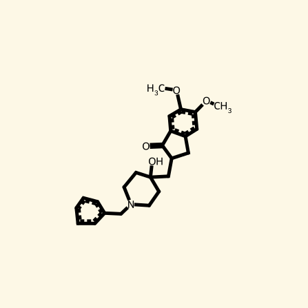 COc1cc2c(cc1OC)C(=O)C(CC1(O)CCN(Cc3ccccc3)CC1)C2